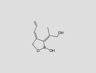 C=C/C=C1/COB(O)/C1=C(/C)CO